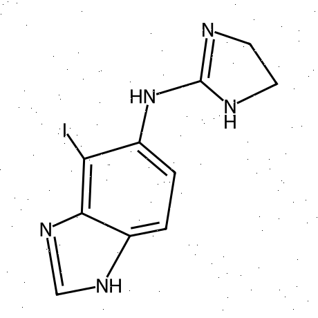 Ic1c(NC2=NCCN2)ccc2[nH]cnc12